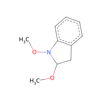 COC1Cc2ccccc2N1OC